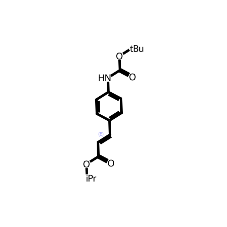 CC(C)OC(=O)/C=C/c1ccc(NC(=O)OC(C)(C)C)cc1